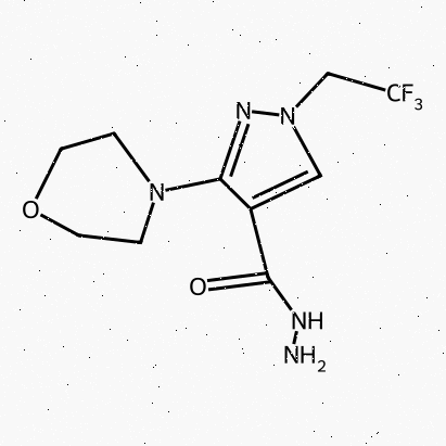 NNC(=O)c1cn(CC(F)(F)F)nc1N1CCOCC1